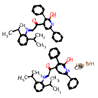 Br.Br.CC(C)c1cccc(C(C)C)c1N=CC(=O)c1cc(-c2ccccc2)nc(O)c1-c1ccccc1.CC(C)c1cccc(C(C)C)c1N=CC(=O)c1cc(-c2ccccc2)nc(O)c1-c1ccccc1.[Co].[Ni]